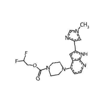 Cn1cnc(-c2cc3c(N4CCN(C(=O)OCC(F)F)CC4)ccnc3[nH]2)c1